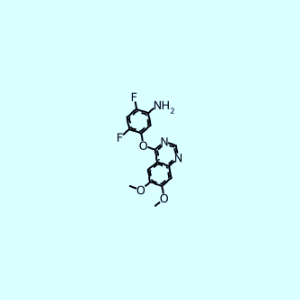 COc1cc2ncnc(Oc3cc(N)c(F)cc3F)c2cc1OC